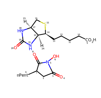 CCCCCC1CC(=O)N(O)C1=O.O=C(O)CCCC[C@@H]1SC[C@@H]2NC(=O)N[C@@H]21